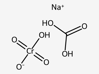 O=C(O)O.[Na+].[O]=[Cr](=[O])([O-])[OH]